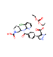 CCOC(=O)OC(C)OC(=O)c1c(-c2ccc(C(=O)N(c3ncccc3Cl)C3CCCN(C(=O)O)C3)cc2)cnn1C